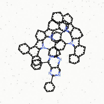 c1ccc(-c2ncc3nc(-c4cc(-n5c6c7ccccc7ccc6c6ccc7c8ccc9ccccc9c8n(-c8ccccc8)c7c65)cc(-n5c6c7ccccc7ccc6c6ccc7c8c9ccccc9c9ccccc9c8n(-c8ccccc8)c7c65)c4)nc(-c4ccccc4)c3n2)cc1